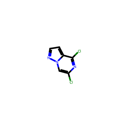 Clc1cn2nccc2c(Cl)n1